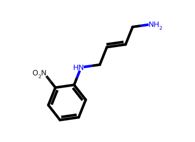 NC/C=C/CNc1ccccc1[N+](=O)[O-]